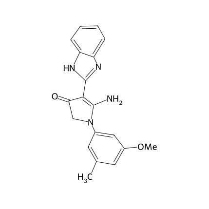 COc1cc(C)cc(N2CC(=O)C(c3nc4ccccc4[nH]3)=C2N)c1